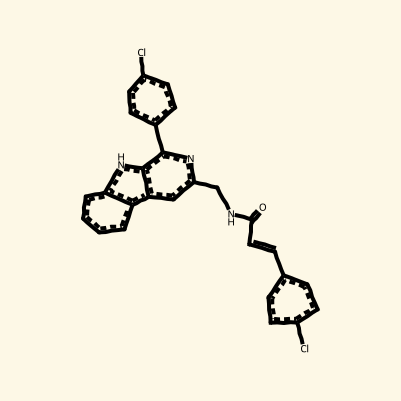 O=C(/C=C/c1ccc(Cl)cc1)NCc1cc2c([nH]c3ccccc32)c(-c2ccc(Cl)cc2)n1